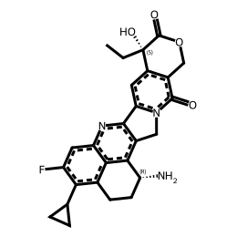 CC[C@@]1(O)C(=O)OCc2c1cc1n(c2=O)Cc2c-1nc1cc(F)c(C3CC3)c3c1c2[C@H](N)CC3